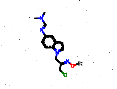 CCON=C(CCl)Cn1ccc2cc(N=CN(C)C)ccc21